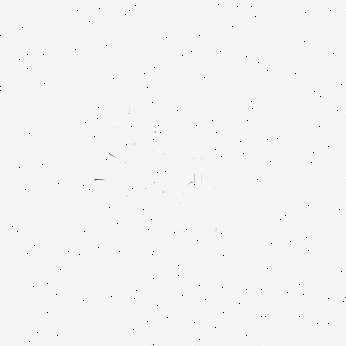 C[C@@H]1C[C@H]2[C@@H]3CCC4=CC(=O)C=C[C@]4(C)[C@H]3[C@@H](O)C[C@]2(C)[C@@]1(C)C(=O)CI